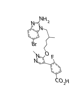 CC(CCCOc1c(-c2cc(C(=O)O)ccc2F)cnn1C)Cn1c(N)nc2ccc(Br)cc21